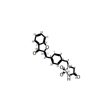 O=C1CN(Cc2ccc(/C=C3\Oc4ccccc4C3=O)cc2)S(=O)(=O)N1